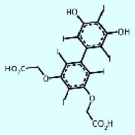 O=C(O)COc1c(I)c(OCC(=O)O)c(I)c(-c2c(I)c(O)c(I)c(O)c2I)c1I